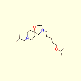 CC(C)CN1CCC2(CC1)CN(CCCCCOC(C)C)CCO2